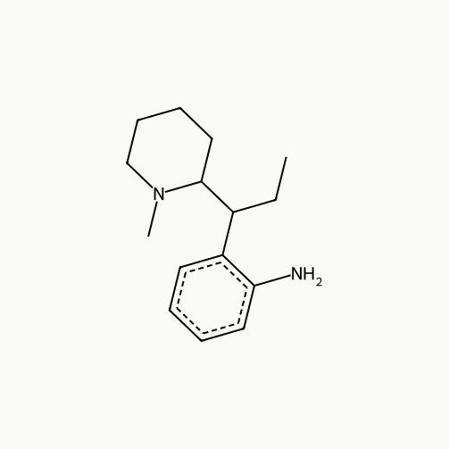 CCC(c1ccccc1N)C1CCCCN1C